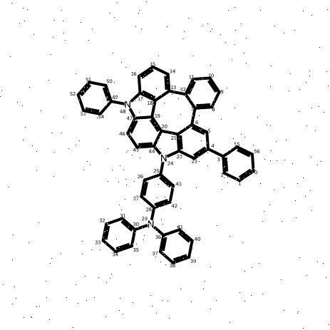 c1ccc(-c2cc3c4ccccc4c4cccc5c4c4c6c3c(c2)n(-c2ccc(N(c3ccccc3)c3ccccc3)cc2)c6ccc4n5-c2ccccc2)cc1